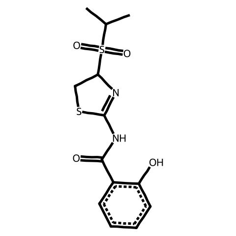 CC(C)S(=O)(=O)C1CSC(NC(=O)c2ccccc2O)=N1